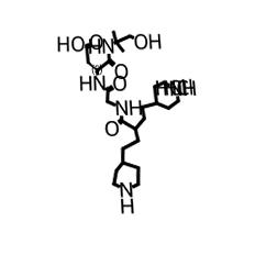 CC(C)(CO)NC(=O)[C@H](CC(=O)O)NC(=O)CNC(=O)C(CCC1CCNCC1)CCC1CCNCC1.Cl.Cl